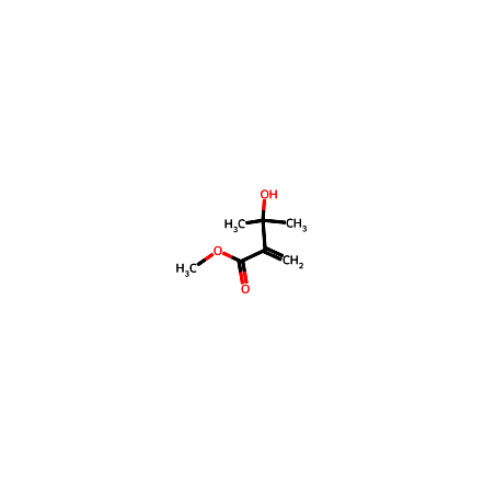 C=C(C(=O)OC)C(C)(C)O